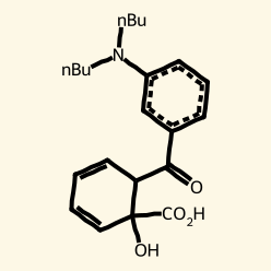 CCCCN(CCCC)c1cccc(C(=O)C2C=CC=CC2(O)C(=O)O)c1